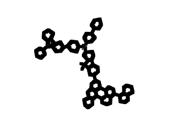 CC1(C)c2cc(-c3cccc(-c4ccc(-c5cccc6ccccc56)c5cccc(-c6cccc7ccccc67)c45)c3)ccc2-c2ccc(N(c3ccc(-c4ccccc4)cc3)c3ccc(-c4ccc5c(c4)c4ccccc4n5-c4ccccc4)cc3)cc21